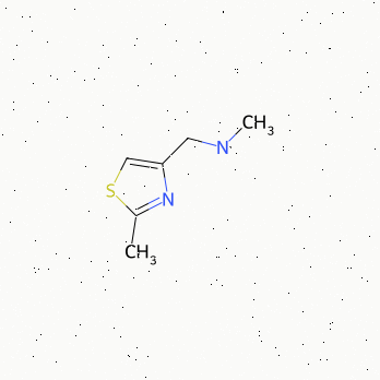 C[N]Cc1csc(C)n1